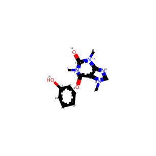 Cn1c(=O)c2c(ncn2C)n(C)c1=O.Oc1ccccc1